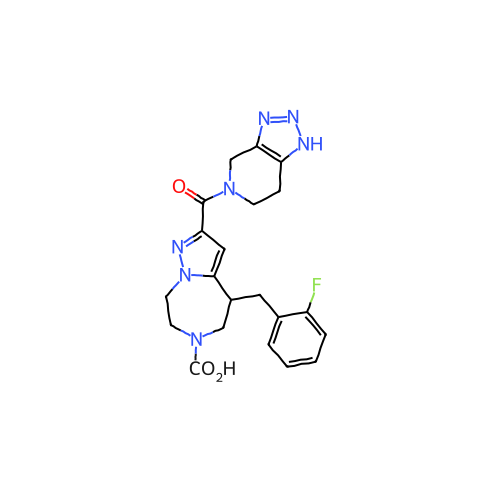 O=C(O)N1CCn2nc(C(=O)N3CCc4[nH]nnc4C3)cc2C(Cc2ccccc2F)C1